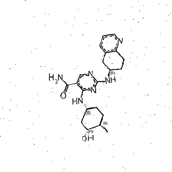 C[C@@H]1CC[C@@H](Nc2nc(N[C@@H]3CCc4ncccc4C3)ncc2C(N)=O)C[C@H]1O